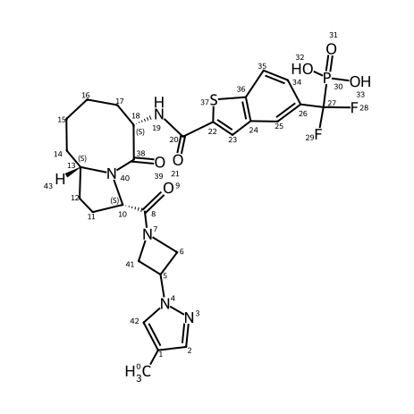 Cc1cnn(C2CN(C(=O)[C@@H]3CC[C@@H]4CCCC[C@H](NC(=O)c5cc6cc(C(F)(F)P(=O)(O)O)ccc6s5)C(=O)N43)C2)c1